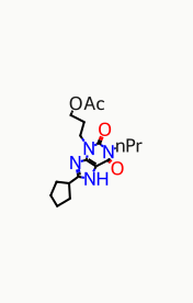 CCCn1c(=O)c2[nH]c(C3CCCC3)nc2n(CCCOC(C)=O)c1=O